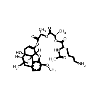 COc1ccc2c3c1O[C@H]1C(OC(=O)[C@H](C)OC(=O)[C@H](C)OC(=O)[C@H](CCCCN)NC(C)=O)=CC[C@@]4(O)[C@@H](C2)C(C)CC[C@]314